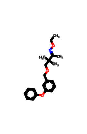 CCON=C(C)C(C)(C)COCc1cccc(Oc2ccccc2)c1